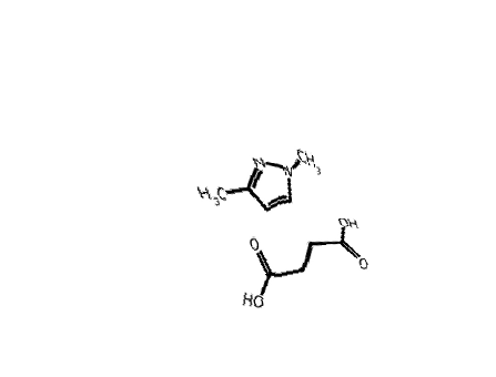 Cc1ccn(C)n1.O=C(O)CCC(=O)O